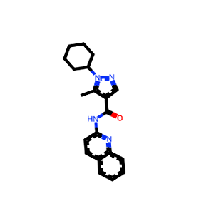 Cc1c(C(=O)Nc2ccc3ccccc3n2)cnn1C1CCCCC1